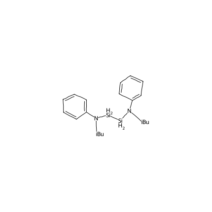 CCC(C)N([SiH2][SiH2]N(c1ccccc1)C(C)CC)c1ccccc1